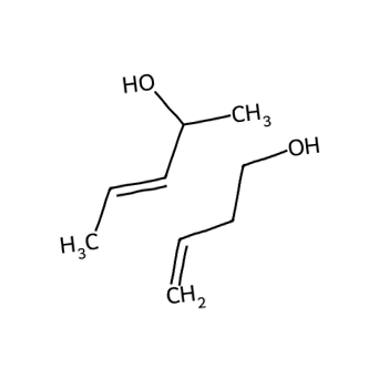 C=CCCO.CC=CC(C)O